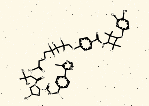 CCC(C)(CC)[C@H](NC(=O)COCC(F)(F)C(F)(F)C(F)(F)COc1ccc(C(=O)NC2C(C)(C)C(Oc3ccc(C#N)c(Cl)c3)C2(C)C)cc1)C(=O)N1C[C@H](O)C[C@H]1C(=O)N[C@@H](C)c1ccc(-c2scnc2C)cc1